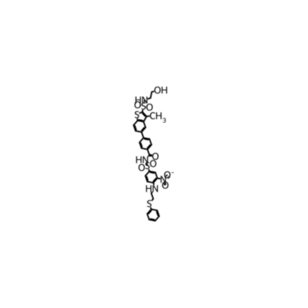 Cc1c(S(=O)(=O)NCCO)sc2ccc(-c3ccc(C(=O)NS(=O)(=O)c4ccc(NCCSc5ccccc5)c([N+](=O)[O-])c4)cc3)cc12